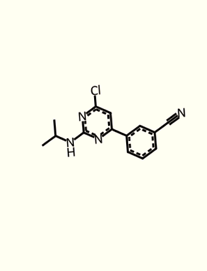 CC(C)Nc1nc(Cl)cc(-c2cccc(C#N)c2)n1